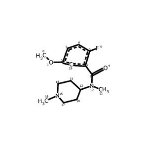 COc1ccc(F)c(C(=O)N(C)C2CCN(C)CC2)c1